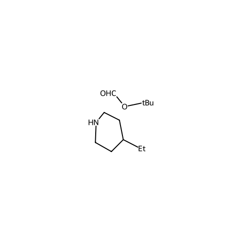 CC(C)(C)OC=O.CCC1CCNCC1